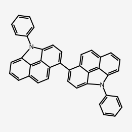 c1ccc(-n2c3cccc4ccc5c(-c6ccc7c8c6ccc6cccc(c68)n7-c6ccccc6)ccc2c5c43)cc1